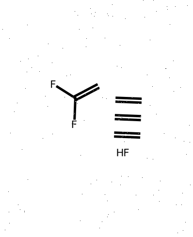 C=C.C=C.C=C.C=C(F)F.F